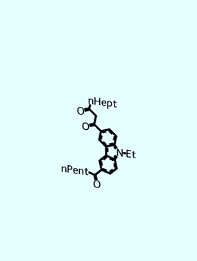 CCCCCCCC(=O)CC(=O)c1ccc2c(c1)c1cc(C(=O)CCCCC)ccc1n2CC